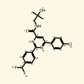 CC(C)(O)CNC(=O)c1cc(-c2ccc(Cl)cc2)nc(-c2ccc(C(F)F)cc2)n1